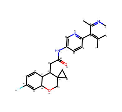 C/N=C(/C)C(=C(C)C)c1ccc(NC(=O)CC2C3C=CC(F)=CC3OCC23CC3)cn1